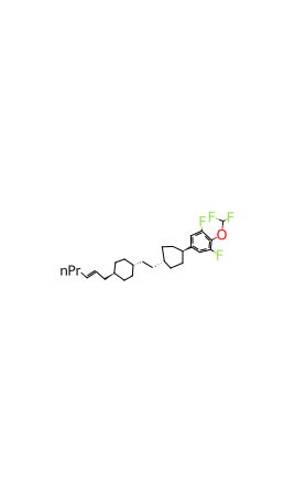 CCC/C=C/C[C@H]1CC[C@H](CC[C@H]2CC[C@H](c3cc(F)c(OC(F)F)c(F)c3)CC2)CC1